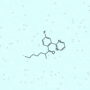 CCCCCC(C)C(=O)c1ccc(F)cc1-c1ncccn1